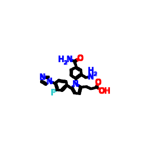 NCc1cc(C(N)=O)ccc1-n1c(CCC(=O)O)ccc1-c1ccc(-n2ccnc2)c(F)c1